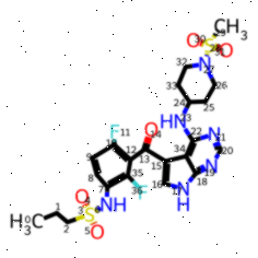 CCCS(=O)(=O)Nc1ccc(F)c(C(=O)c2c[nH]c3ncnc(NC4CCN(S(C)(=O)=O)CC4)c23)c1F